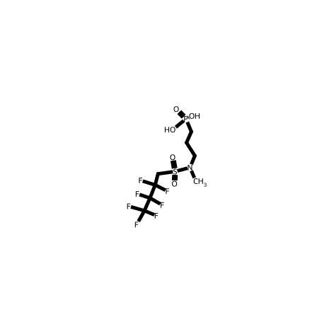 CN(CCCP(=O)(O)O)S(=O)(=O)CC(F)(F)C(F)(F)C(F)(F)F